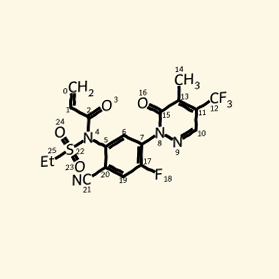 C=CC(=O)N(c1cc(-n2ncc(C(F)(F)F)c(C)c2=O)c(F)cc1C#N)S(=O)(=O)CC